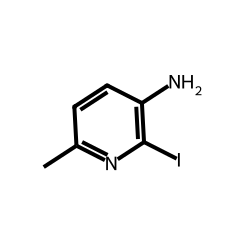 Cc1ccc(N)c(I)n1